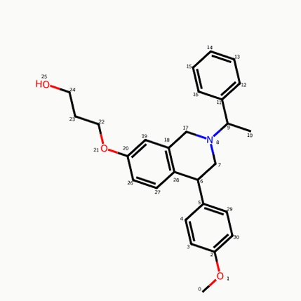 COc1ccc(C2CN(C(C)c3ccccc3)Cc3cc(OCCCO)ccc32)cc1